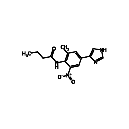 CCCC(=O)Nc1c(C)cc(-c2c[nH]cn2)cc1[N+](=O)[O-]